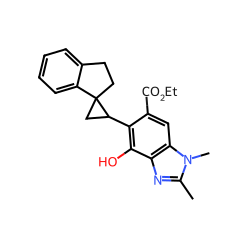 CCOC(=O)c1cc2c(nc(C)n2C)c(O)c1C1CC12CCc1ccccc12